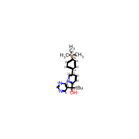 CC(C)(C)C(O)(c1cncnc1)c1ccc(-c2ccc(S(C)(C)C)cc2)cn1